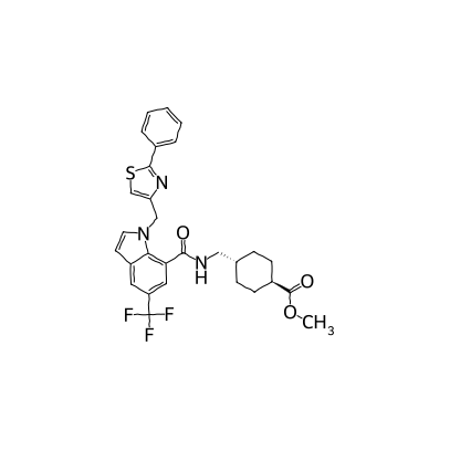 COC(=O)[C@H]1CC[C@H](CNC(=O)c2cc(C(F)(F)F)cc3ccn(Cc4csc(-c5ccccc5)n4)c23)CC1